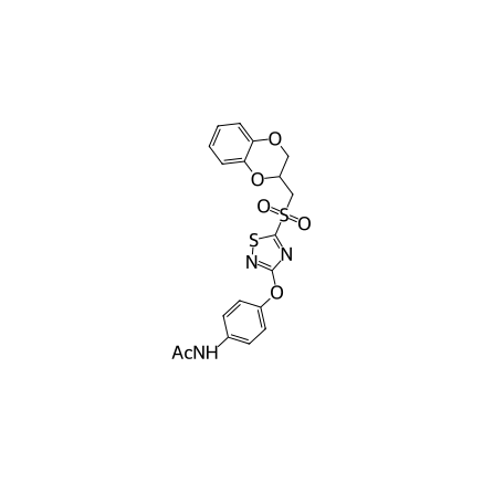 CC(=O)Nc1ccc(Oc2nsc(S(=O)(=O)CC3COc4ccccc4O3)n2)cc1